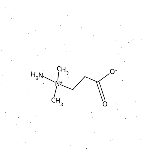 C[N+](C)(N)CCC(=O)[O-]